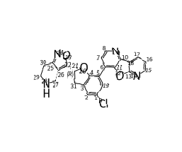 Clc1cc2c(c(-c3ccnc4c3oc3ncccc34)c1)O[C@@H](c1onc3c1CNCC3)C2